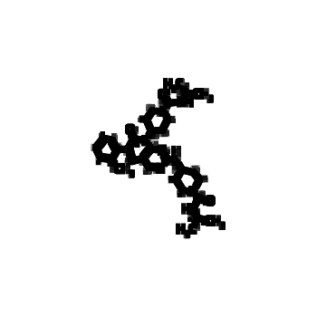 Cc1ccccc1-c1cc2cnc(NC3CCN(C(=O)NC(C)C)CC3)nc2n(C2CCN(C(=O)NC(C)C)CC2)c1=O